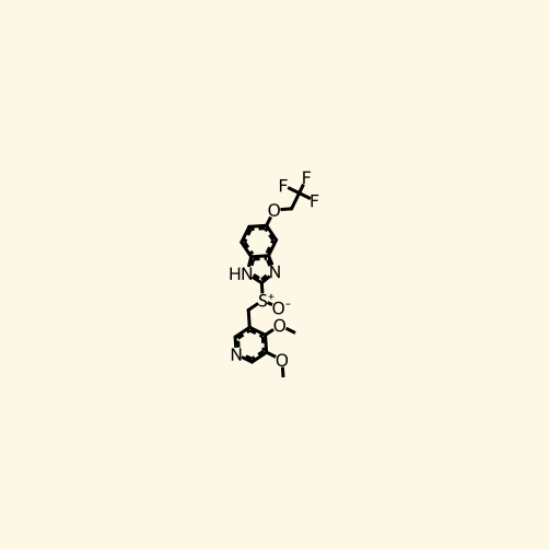 COc1cncc(C[S+]([O-])c2nc3cc(OCC(F)(F)F)ccc3[nH]2)c1OC